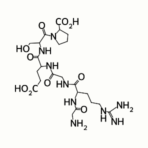 N=C(N)NCCCC(NC(=O)CN)C(=O)NCC(=O)NC(CCC(=O)O)C(=O)NC(CO)C(=O)N1CCCC1C(=O)O